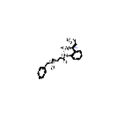 N/C=C(\N)c1ccccc1NC(=O)CCN[S+]([O-])Cc1ccccc1